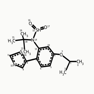 CC(C)Oc1ccc(-c2cn[c]s2)c(N([SH](=O)=O)C(C)(C)C)c1